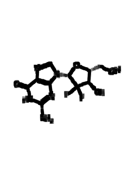 Nc1nc2c(ncn2[C@@H]2O[C@H](CO)[C@@H](O)C2(F)F)c(=O)[nH]1